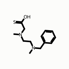 CN(CCN(C)Cc1ccccc1)CC(O)=S